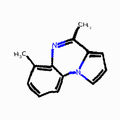 Cc1cccc2c1nc(C)c1cccn12